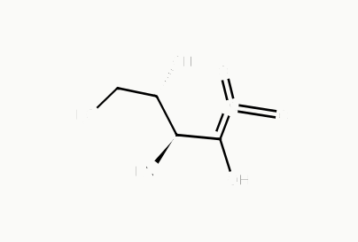 CC[C@H](C)[C@H](N)C(O)=S(=O)=O